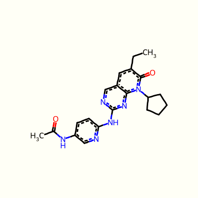 CCc1cc2cnc(Nc3ccc(NC(C)=O)cn3)nc2n(C2CCCC2)c1=O